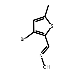 Cc1cc(Br)c(C=NO)s1